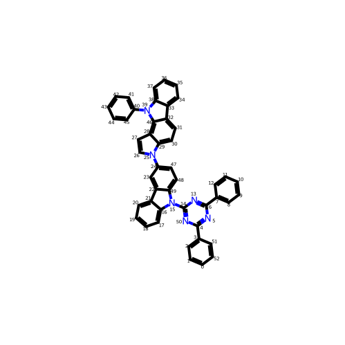 c1ccc(-c2nc(-c3ccccc3)nc(-n3c4ccccc4c4cc(-n5ccc6c5ccc5c7ccccc7n(-c7ccccc7)c56)ccc43)n2)cc1